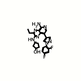 CCc1nc2c(N)ncc(-c3cnn(-c4ccc(F)cc4F)c3)c2nc1N[C@@H]1CC[C@H](O)C1